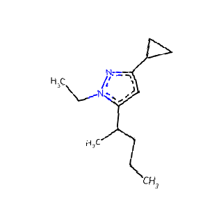 CCCC(C)c1cc(C2CC2)nn1CC